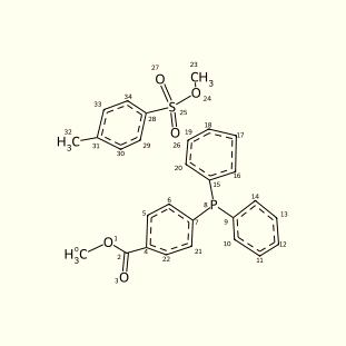 COC(=O)c1ccc(P(c2ccccc2)c2ccccc2)cc1.COS(=O)(=O)c1ccc(C)cc1